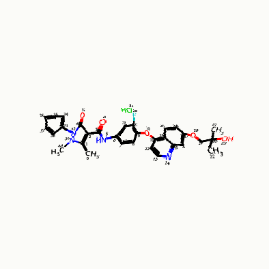 Cc1c(C(=O)Nc2ccc(Oc3ccnc4cc(OCC(C)(C)O)ccc34)c(F)c2)c(=O)n(-c2ccccc2)n1C.Cl